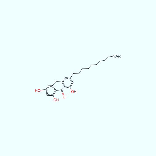 CCCCCCCCCCCCCCCCCCCc1cc(O)c2c(c1)Cc1cc(O)cc(O)c1C2=O